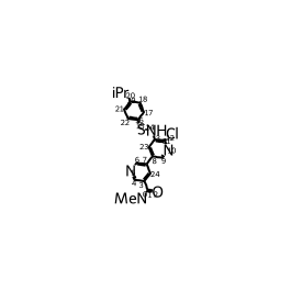 CNC(=O)c1cncc(-c2cnc(Cl)c(NSc3ccc(C(C)C)cc3)c2)c1